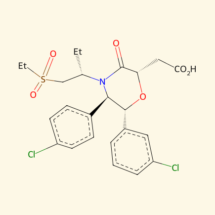 CC[C@@H](CS(=O)(=O)CC)N1C(=O)[C@H](CC(=O)O)O[C@H](c2cccc(Cl)c2)[C@H]1c1ccc(Cl)cc1